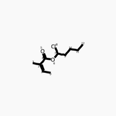 CC=C(C)C(=O)OC(Cl)CCCC